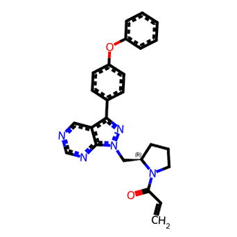 C=CC(=O)N1CCC[C@@H]1Cn1nc(-c2ccc(Oc3ccccc3)cc2)c2cncnc21